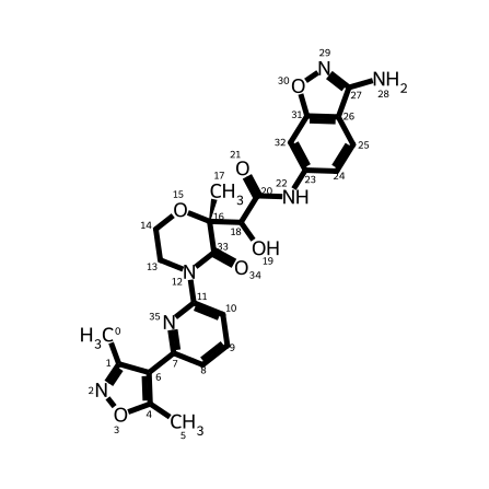 Cc1noc(C)c1-c1cccc(N2CCO[C@](C)(C(O)C(=O)Nc3ccc4c(N)noc4c3)C2=O)n1